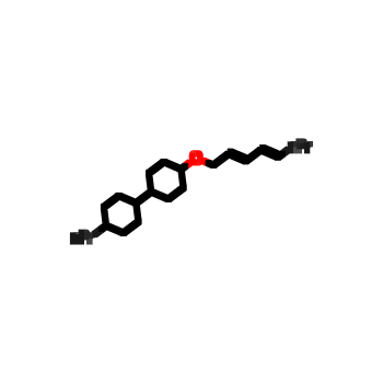 CCCC=CC=CCOC1CCC(C2CCC(CCC)CC2)CC1